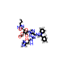 CCCc1noc([C@H]2O[C@@H](n3cnc4c(NCC(c5ccccc5)c5ccccc5)nc(NCCc5cn(C)cn5)nc43)[C@H](O)[C@@H]2OC=O)n1